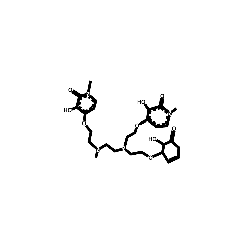 CN(CCOc1ccn(C)c(=O)c1O)CCN(CCOc1ccn(C)c(=O)c1O)CCOC1C=CCC(=O)C1O